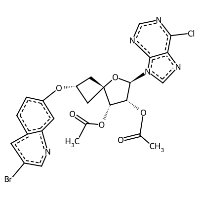 CC(=O)O[C@H]1[C@H](n2cnc3c(Cl)ncnc32)O[C@]2(C[C@@H](Oc3ccc4cc(Br)cnc4c3)C2)[C@H]1OC(C)=O